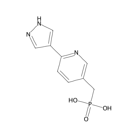 O=P(O)(O)Cc1ccc(-c2cn[nH]c2)nc1